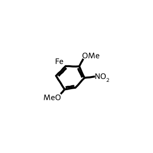 COc1ccc(OC)c([N+](=O)[O-])c1.[Fe]